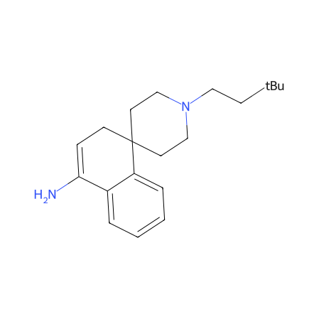 CC(C)(C)CCN1CCC2(CC=C(N)c3ccccc32)CC1